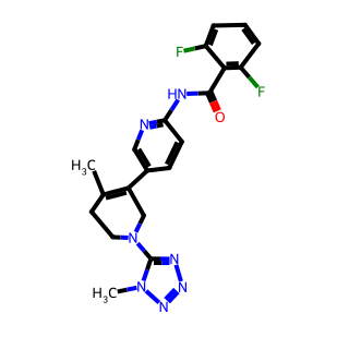 CC1=C(c2ccc(NC(=O)c3c(F)cccc3F)nc2)CN(c2nnnn2C)CC1